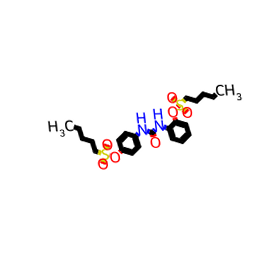 CCCCCS(=O)(=O)Oc1ccc(NC(=O)Nc2ccccc2OS(=O)(=O)CCCCC)cc1